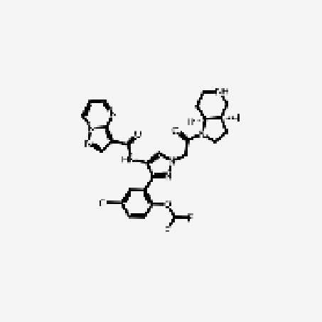 O=C(Nc1cn(CC(=O)N2CC[C@@H]3CNCC[C@@H]32)nc1-c1cc(Cl)ccc1OC(F)F)c1cnn2cccnc12